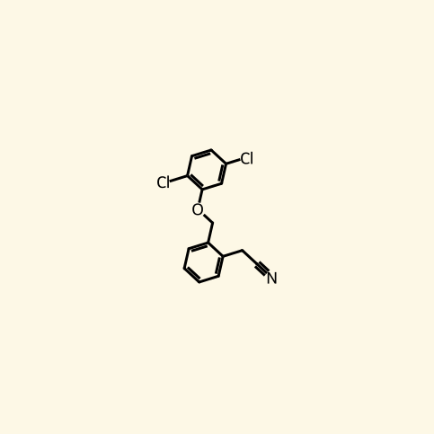 N#CCc1ccccc1COc1cc(Cl)ccc1Cl